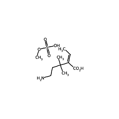 CC=C(C(=O)O)C(C)(C)CCN.COS(=O)(=O)O